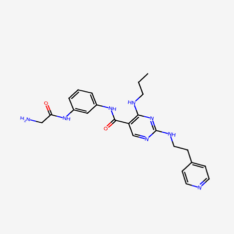 CCCNc1nc(NCCc2ccncc2)ncc1C(=O)Nc1cccc(NC(=O)CN)c1